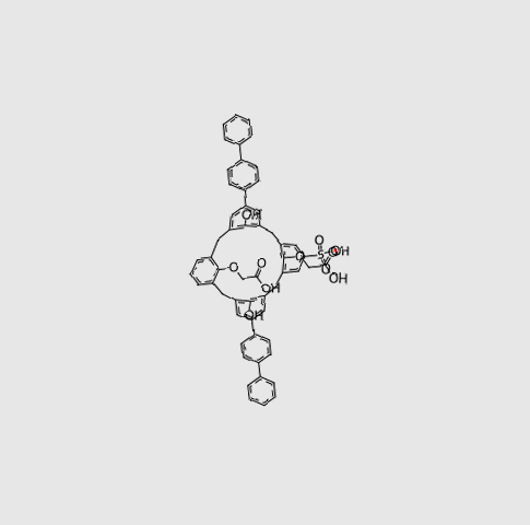 O=C(O)COc1c2cccc1Cc1cc(-c3ccc(-c4ccccc4)cc3)cc(c1O)Cc1cc(S(=O)(=O)O)cc(c1OCC(=O)O)Cc1cc(-c3ccc(-c4ccccc4)cc3)cc(c1O)C2